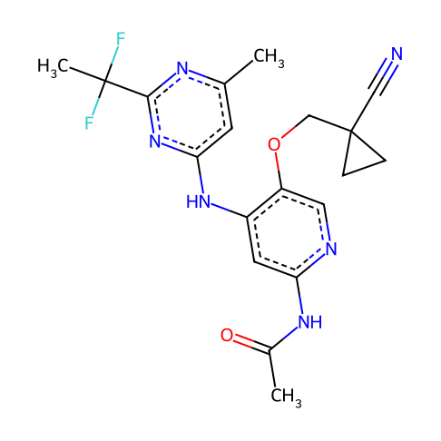 CC(=O)Nc1cc(Nc2cc(C)nc(C(C)(F)F)n2)c(OCC2(C#N)CC2)cn1